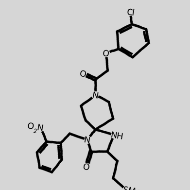 CSCCC1NC2(CCN(C(=O)COc3cccc(Cl)c3)CC2)N(Cc2ccccc2[N+](=O)[O-])C1=O